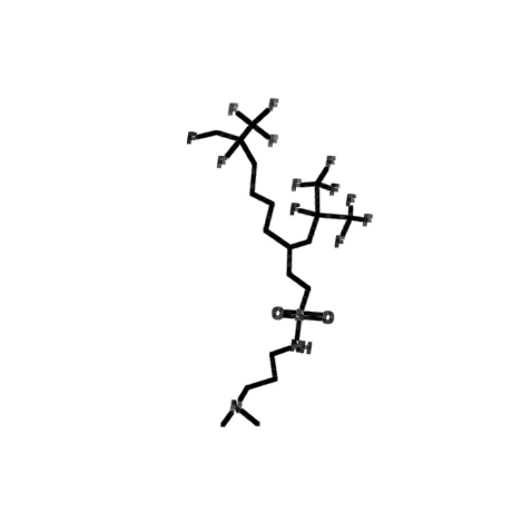 CN(C)CCCNS(=O)(=O)CCC(CCCCC(F)(CF)C(F)(F)F)CC(F)(C(F)(F)F)C(F)(F)F